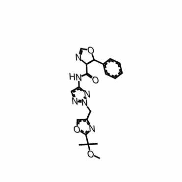 COC(C)(C)c1nc(Cn2ncc(NC(=O)C3N=COC3c3ccccc3)n2)co1